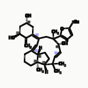 C=C1/C(=C2\C=C3/CCC[C@]4(C)[C@H](CC[C@@H]34)C(C)(C)/C=C/[C@@H](O)C(C)(c3ncc(CCCC)o3)C2)C[C@@H](O)C[C@@H]1O